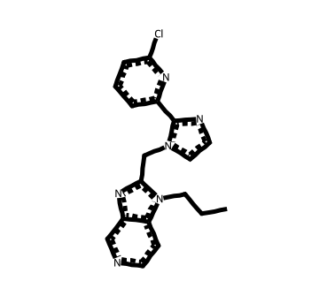 CCCn1c(Cn2ccnc2-c2cccc(Cl)n2)nc2cnccc21